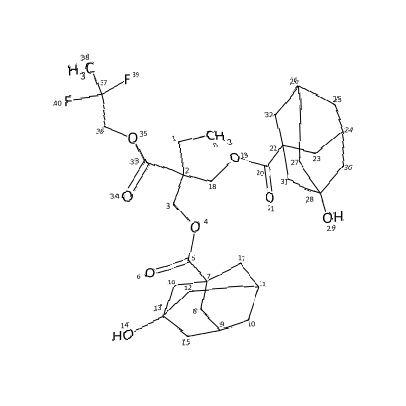 CCC(COC(=O)C12CC3CC(CC(O)(C3)C1)C2)(COC(=O)C12CC3CC(CC(O)(C3)C1)C2)C(=O)OCC(C)(F)F